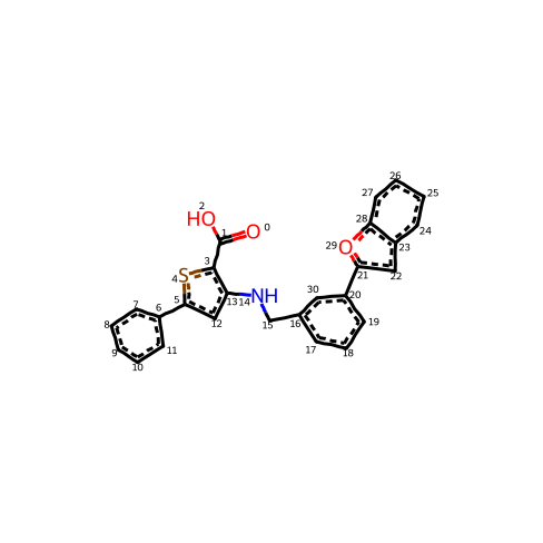 O=C(O)c1sc(-c2ccccc2)cc1NCc1cccc(-c2cc3ccccc3o2)c1